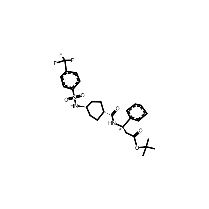 CC(C)(C)OC(=O)C[C@@H](NC(=O)[C@H]1CC[C@H](NS(=O)(=O)c2ccc(C(F)(F)F)cc2)CC1)c1ccccc1